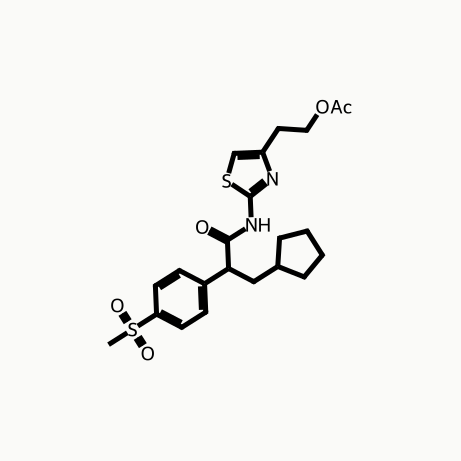 CC(=O)OCCc1csc(NC(=O)C(CC2CCCC2)c2ccc(S(C)(=O)=O)cc2)n1